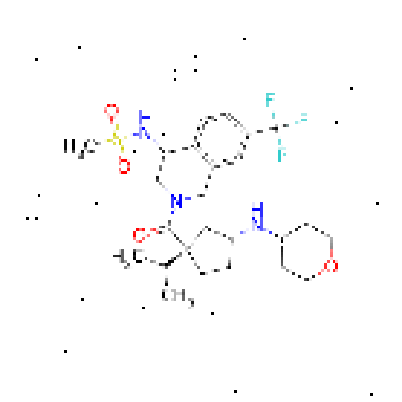 CC(C)[C@]1(C(=O)N2Cc3cc(C(F)(F)F)ccc3C(NS(C)(=O)=O)C2)CC[C@@H](NC2CCOCC2)C1